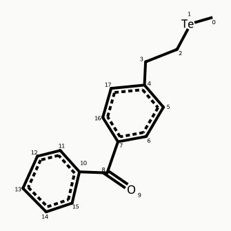 C[Te]CCc1ccc(C(=O)c2ccccc2)cc1